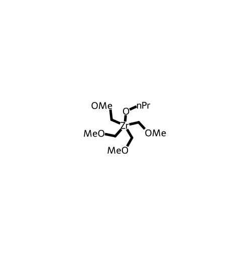 CCC[O][Zr]([CH2]OC)([CH2]OC)([CH2]OC)[CH2]OC